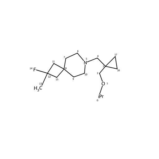 CC(C)OCC1(CN2CCC3(CC2)CC(C)(F)C3)CC1